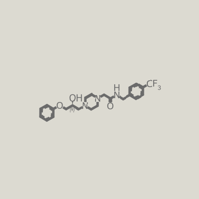 O=C(CN1CCN(C[C@@H](O)COc2ccccc2)CC1)NCc1ccc(C(F)(F)F)cc1